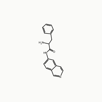 NC(Cc1ccccc1)C(=O)Nc1ccc2cnccc2c1